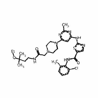 CCOC(C)(C)CCNC(=O)CN1CCN(c2cc(Nc3ncc(C(=O)Nc4c(C)cccc4Cl)s3)nc(C)n2)CC1